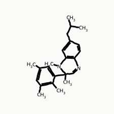 Cc1cc(C)c(C)c(C2(C)C=Nc3ccc(CC(C)C)cc3N2C)c1